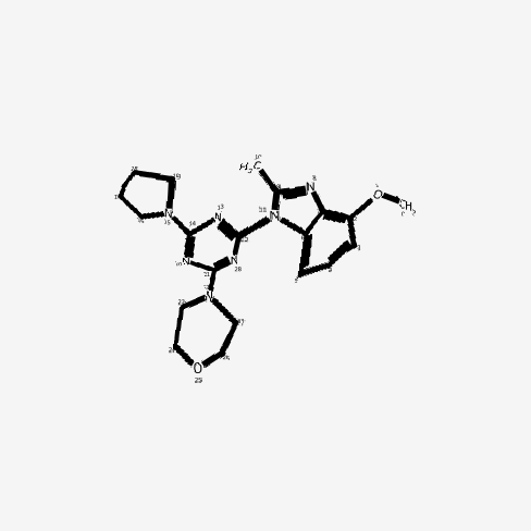 COc1cccc2c1nc(C)n2-c1nc(N2CCCC2)nc(N2CCOCC2)n1